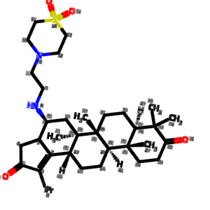 CC(C)C1=C2C(CC1=O)[C@@H](NCCN1CCS(=O)(=O)CC1)C[C@]1(C)[C@@H]2CC[C@@H]2[C@@]3(C)CCC(=O)C(C)(C)[C@@H]3CC[C@]21C